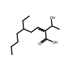 CCCCC(CC)CC=C(C(=O)O)C(C)O